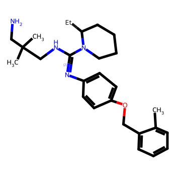 CCC1CCCCN1/C(=N\c1ccc(OCc2ccccc2C)cc1)NCC(C)(C)CN